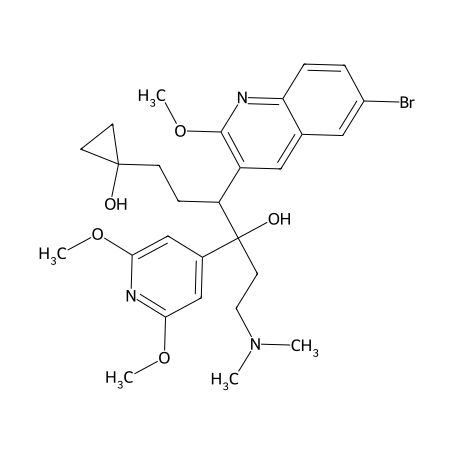 COc1cc(C(O)(CCN(C)C)C(CCC2(O)CC2)c2cc3cc(Br)ccc3nc2OC)cc(OC)n1